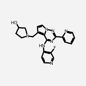 OC1CCN(Cc2ccn3nc(-c4ccccn4)nc(Nc4ccncc4F)c23)C1